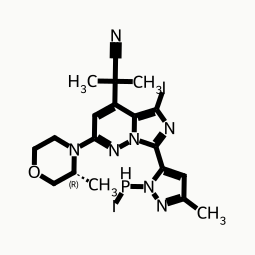 Cc1cc(-c2nc(I)c3c(C(C)(C)C#N)cc(N4CCOC[C@H]4C)nn23)n(PI)n1